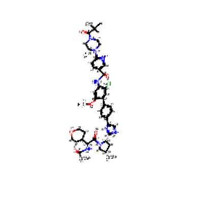 CCC(C)(C)C(=O)N1CCN(c2ccc(C(=O)Nc3cc(OC(F)(F)F)c(-c4ccc(-c5c[nH]c([C@@H]6C[C@H](OC)CN6C(=O)[C@@H](NC(=O)OC)C6CCOCC6)n5)cc4)cc3Cl)cn2)[C@H](C)C1